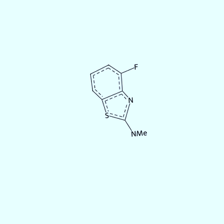 CNc1nc2c(F)cccc2s1